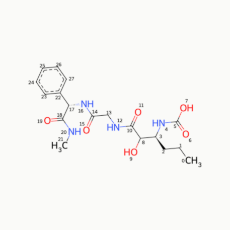 CCC[C@H](NC(=O)O)C(O)C(=O)NCC(=O)N[C@H](C(=O)NC)c1ccccc1